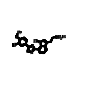 CCOC(=O)CCc1cn(CC)c2c(-c3noc(-c4ccc(OC(C)C)c(Cl)c4)n3)cccc12